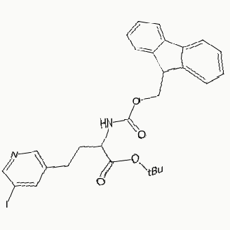 CC(C)(C)OC(=O)C(CCc1cncc(I)c1)NC(=O)OCC1c2ccccc2-c2ccccc21